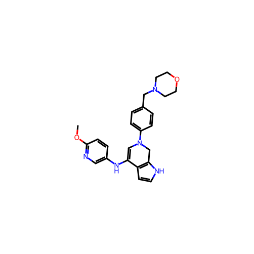 COc1ccc(NC2=CN(c3ccc(CN4CCOCC4)cc3)Cc3[nH]ccc32)cn1